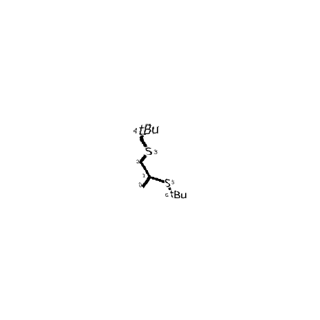 CC(CSC(C)(C)C)SC(C)(C)C